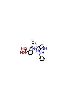 Cc1cc2c(B(O)O)cccc2n1-c1nc2c(c(NCc3ccccc3)n1)NCCC2